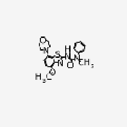 COc1ccc(N2CCOCC2)c2sc(NC(=O)N(C)c3ccccc3)nc12